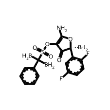 BC(B)(c1ccccc1)S(=O)(=O)OC1=C(N)O[C@@](B)(c2cc(F)ccc2F)C1=O